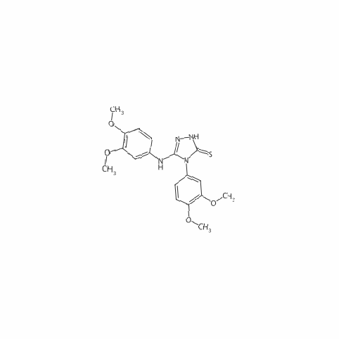 COc1ccc(Nc2n[nH]c(=S)n2-c2ccc(OC)c(OC)c2)cc1OC